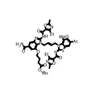 CCc1nc(C)oc1C(=O)/N=c1\sc2cc(C(C)=O)cc(OC)c2n1C/C=C/Cn1c(NC(=O)c2oc(C)nc2CC)nc2cc(C(N)=O)cc(OCCCC(=O)O[C@@H](C)CC)c21